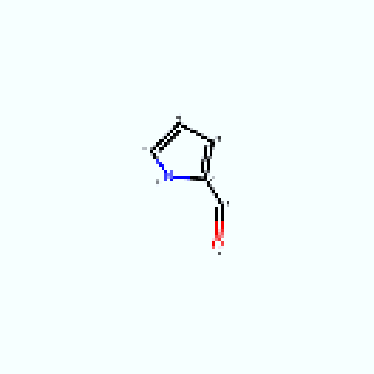 O=CC1=CC=C[N]1